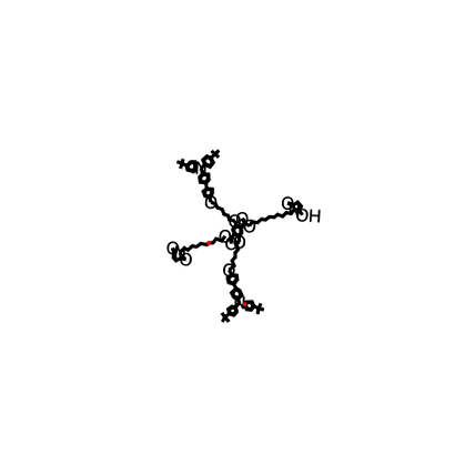 CC(C)(C)c1ccc(N(c2ccc(-c3ccc(OCCCCCCOc4cc(C(=O)OCCCCCCCCCCN5C(=O)C=CC5O)c(OCCCCCCOc5ccc(-c6ccc(N(c7ccc(C(C)(C)C)cc7)c7ccc(C(C)(C)C)cc7)cc6)cc5)cc4C(=O)OCCCCCCCCCCN4C(=O)C=CC4=O)cc3)cc2)c2ccc(C(C)(C)C)cc2)cc1